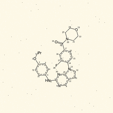 CC(C)Oc1ccc(Nc2ncc3ccn(-c4ccc(C(=O)N5CCOCC5)cc4F)c3n2)cc1